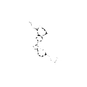 CCOc1nccc2oc(-c3cnc4ccc(OC[C@@H](C)N)nn34)cc12